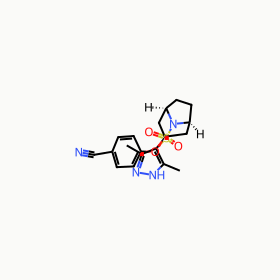 Cc1n[nH]c(C)c1S(=O)(=O)N1[C@@H]2CC[C@H]1C[C@@H](Oc1ccc(C#N)cc1)C2